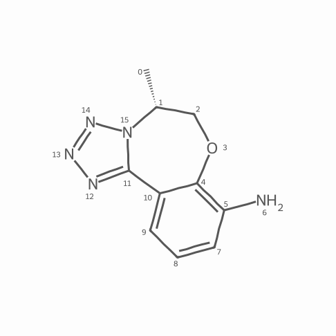 C[C@@H]1COc2c(N)cccc2-c2nnnn21